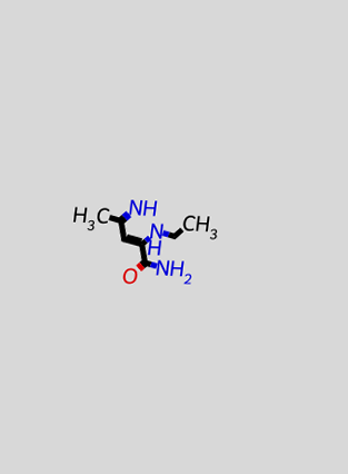 CCN/C(=C\C(C)=N)C(N)=O